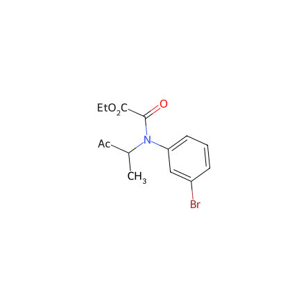 CCOC(=O)C(=O)N(c1cccc(Br)c1)C(C)C(C)=O